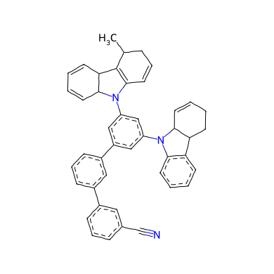 CC1CC=CC2=C1C1C=CC=CC1N2c1cc(-c2cccc(-c3cccc(C#N)c3)c2)cc(N2c3ccccc3C3CCC=CC32)c1